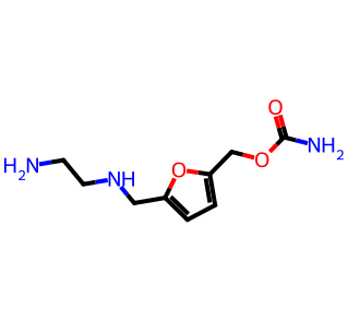 NCCNCc1ccc(COC(N)=O)o1